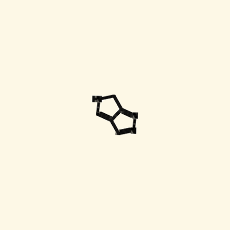 [C]1=NN=C2CNC=C12